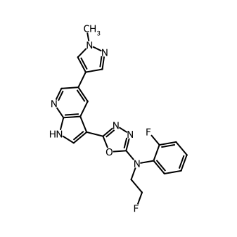 Cn1cc(-c2cnc3[nH]cc(-c4nnc(N(CCF)c5ccccc5F)o4)c3c2)cn1